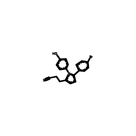 N#CCCc1ccc(-c2ccc(Br)cc2)n1-c1ccc(O)cc1